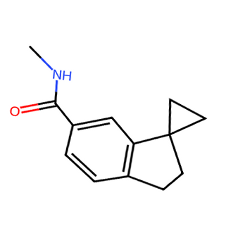 CNC(=O)c1ccc2c(c1)C1(CC2)CC1